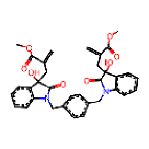 C=C(CC1(O)C(=O)N(Cc2ccc(CN3C(=O)C(O)(CC(=C)C(=O)OC)c4ccccc43)cc2)c2ccccc21)C(=O)OC